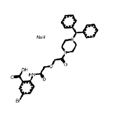 O=C(COCC(=O)N1CCN(C(c2ccccc2)c2ccccc2)CC1)Nc1ccc(Br)cc1C(=O)O.[NaH]